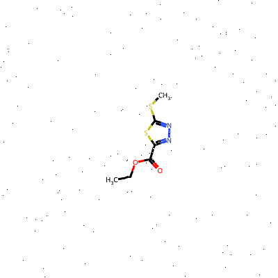 CCOC(=O)c1nnc(SC)s1